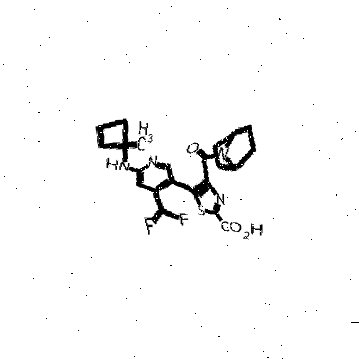 CC1(Nc2cc(C(F)F)c(-c3sc(C(=O)O)nc3C(=O)N3C4CCC3CC4)cn2)CCC1